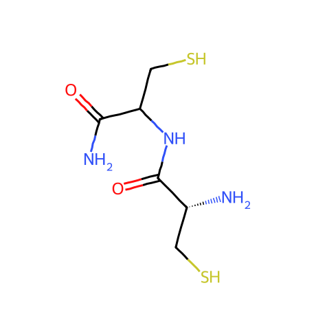 NC(=O)C(CS)NC(=O)[C@H](N)CS